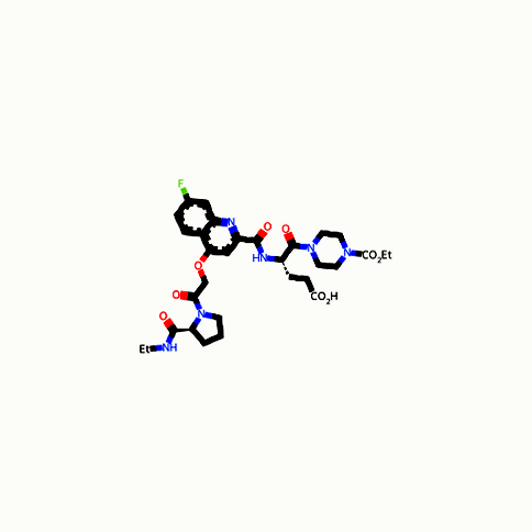 CCNC(=O)[C@@H]1CCCN1C(=O)COc1cc(C(=O)N[C@@H](CCC(=O)O)C(=O)N2CCN(C(=O)OCC)CC2)nc2cc(F)ccc12